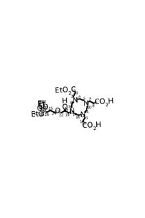 CCOC(=O)CCN1CCN(CCC(=O)O)CCN(CCC(=O)O)CCN(CC(O)COCCC[Si](OCC)(OCC)OCC)CC1